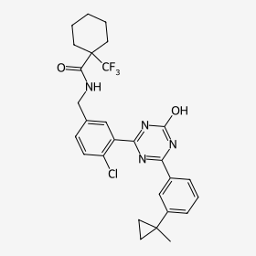 CC1(c2cccc(-c3nc(O)nc(-c4cc(CNC(=O)C5(C(F)(F)F)CCCCC5)ccc4Cl)n3)c2)CC1